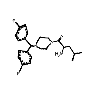 CC(C)CC(N)C(=O)N1CCN(C(c2ccc(F)cc2)c2ccc(F)cc2)CC1